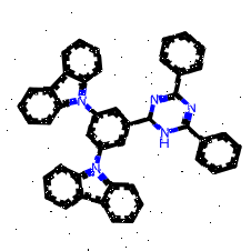 c1ccc(C2=NC(c3cc(-n4c5ccccc5c5ccccc54)cc(-n4c5ccccc5c5ccccc54)c3)NC(c3ccccc3)=N2)cc1